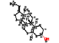 CC=C1CC[C@H]2[C@@H]3CC[C@@H]4C[C@@H](O)CC[C@@H]4[C@H]3CC[C@]12C